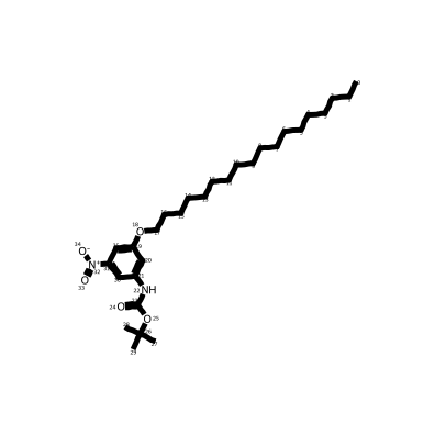 CCCCCCCCCCCCCCCCCCOc1cc(NC(=O)OC(C)(C)C)cc([N+](=O)[O-])c1